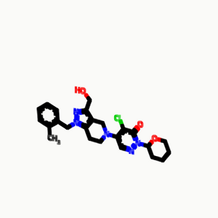 Cc1ccccc1Cn1nc(CO)c2c1CCN(c1cnn(C3CCCCO3)c(=O)c1Cl)C2